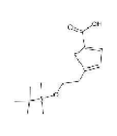 CC(C)(C)[Si](C)(C)OCCc1ccc(C(=O)O)s1